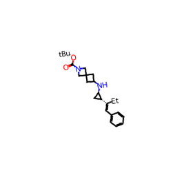 CC/C(=C\c1ccccc1)[C@@H]1C[C@H]1NC1CC2(C1)CN(C(=O)OC(C)(C)C)C2